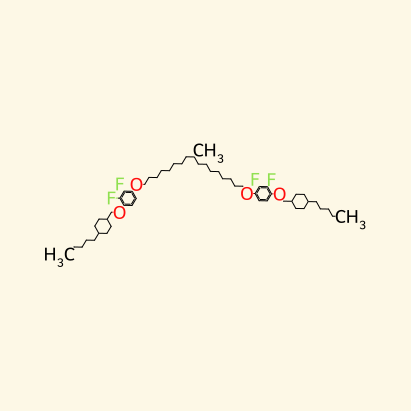 CCCCCC1CCC(COc2ccc(OCCCCCCCCC(C)CCCCCCCCOc3ccc(OCC4CCC(CCCCC)CC4)c(F)c3F)c(F)c2F)CC1